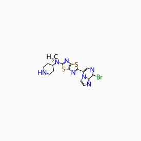 CN(c1nc2sc(-c3cnc(Br)c4nccn34)nc2s1)C1CCNCC1